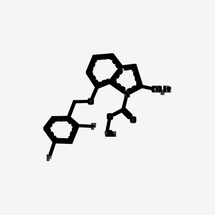 CCOC(=O)c1cc2cccc(OCc3ccc(F)cc3F)c2n1C(=O)OC(C)(C)C